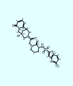 O=C(CN1CCC[C@H](NS(=O)(=O)c2cc3nc(Cl)ccc3s2)C1=O)N1CC2C[C@@H](C1)Cn1c2cccc1=O